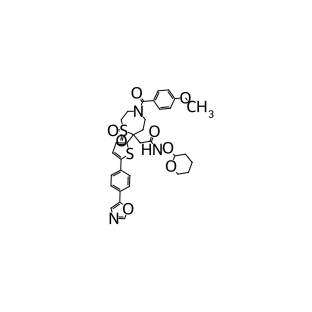 COc1ccc(C(=O)N2CCC(CC(=O)NOC3CCCCO3)(c3ccc(-c4ccc(-c5cnco5)cc4)s3)S(=O)(=O)CC2)cc1